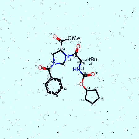 COC(=O)[C@@H]1CN(C(=O)c2ccccc2)CN1C(=O)[C@@H](NC(=O)OC1CCCC1)C(C)(C)C